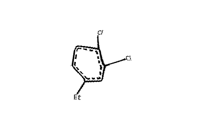 CCc1[c]cc(Cl)c(Cl)c1